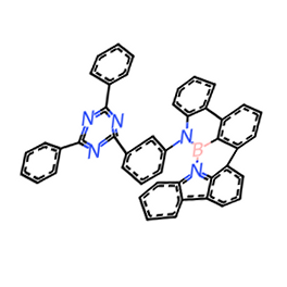 c1ccc(-c2nc(-c3ccccc3)nc(-c3cccc(N4B5c6c(cccc6-c6cccc7c8ccccc8n5c67)-c5ccccc54)c3)n2)cc1